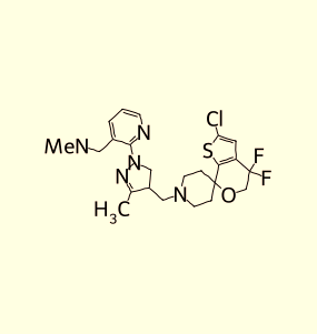 CNCc1cccnc1N1CC(CN2CCC3(CC2)OCC(F)(F)c2cc(Cl)sc23)C(C)=N1